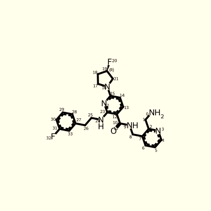 NCc1ncccc1CNC(=O)c1ccc(N2CC[C@@H](F)C2)nc1NCCc1cccc(F)c1